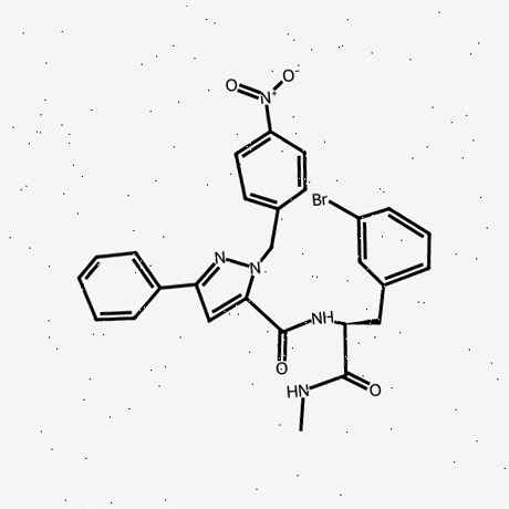 CNC(=O)[C@H](Cc1cccc(Br)c1)NC(=O)c1cc(-c2ccccc2)nn1Cc1ccc([N+](=O)[O-])cc1